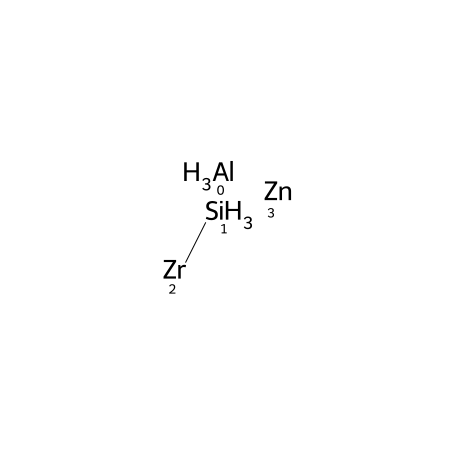 [AlH3].[SiH3][Zr].[Zn]